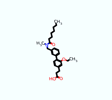 CCCCCCCC(=O)N(C)Cc1cccc(-c2ccc(CCC(=O)O)cc2OCC)c1